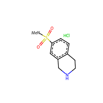 CNS(=O)(=O)c1ccc2c(c1)CNCC2.Cl